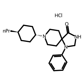 CCC[C@H]1CC[C@H](N2CCC3(CC2)C(=O)NCN3c2ccccc2)CC1.Cl